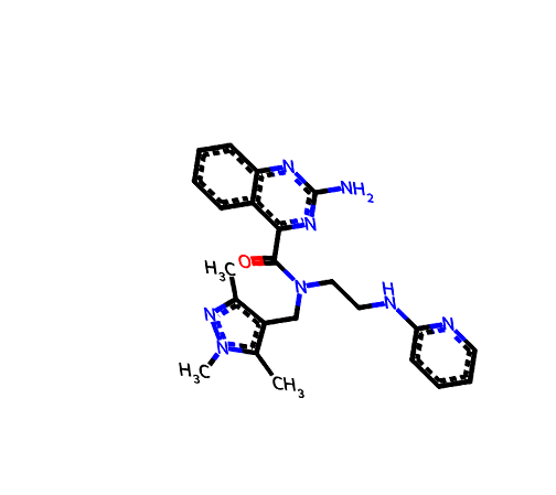 Cc1nn(C)c(C)c1CN(CCNc1ccccn1)C(=O)c1nc(N)nc2ccccc12